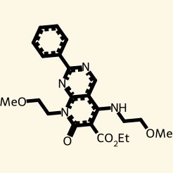 CCOC(=O)c1c(NCCOC)c2cnc(-c3ccccc3)nc2n(CCOC)c1=O